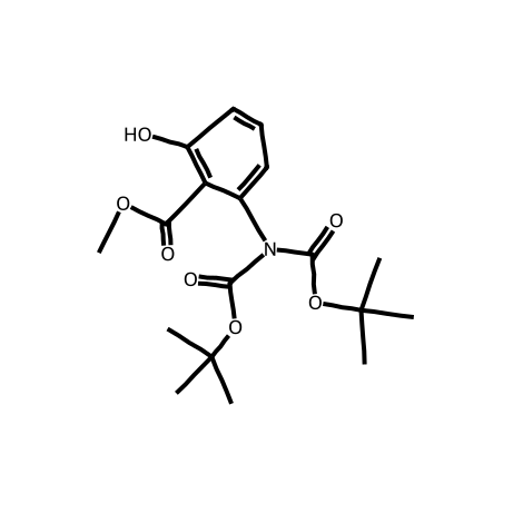 COC(=O)c1c(O)cccc1N(C(=O)OC(C)(C)C)C(=O)OC(C)(C)C